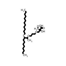 CCCCCCCCCCCCSC(CCCCCCCC)C(C)OCCCOCC(O)([PH2]=O)C(=O)O